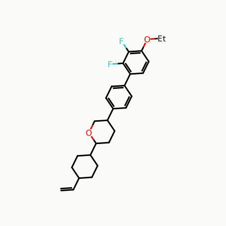 C=CC1CCC(C2CCC(c3ccc(-c4ccc(OCC)c(F)c4F)cc3)CO2)CC1